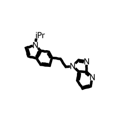 CC(C)n1ccc2ccc(CCn3cnc4ncccc43)cc21